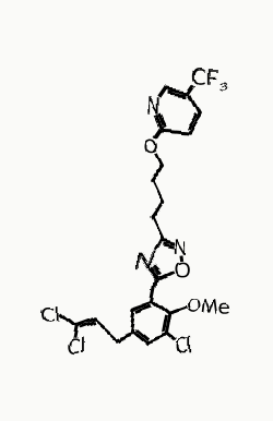 COc1c(Cl)cc(CC=C(Cl)Cl)cc1-c1nc(CCCCOc2ccc(C(F)(F)F)cn2)no1